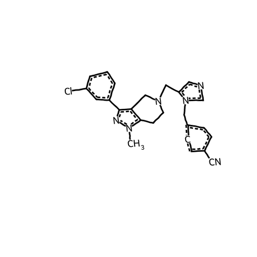 Cn1nc(-c2cccc(Cl)c2)c2c1CCN(Cc1cncn1Cc1ccc(C#N)cc1)C2